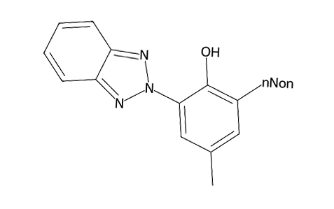 CCCCCCCCCc1cc(C)cc(-n2nc3ccccc3n2)c1O